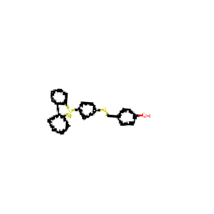 Oc1ccc(CSc2ccc([SH]3c4ccccc4-c4ccccc43)cc2)cc1